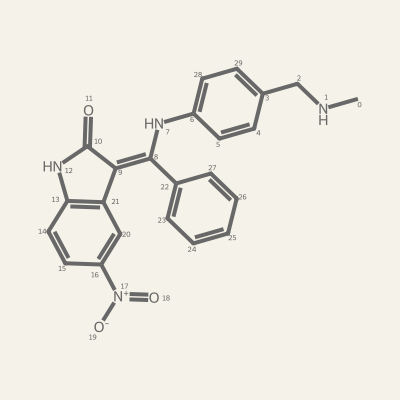 CNCc1ccc(N/C(=C2\C(=O)Nc3ccc([N+](=O)[O-])cc32)c2ccccc2)cc1